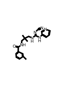 Cc1cccc(C(=O)NCC(C)(C)CNC(=NC#N)Nc2cccnc2)c1